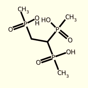 CP(=O)(O)CC(P(C)(=O)O)P(C)(=O)O